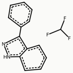 FC(F)F.c1ccc(-c2n[nH]c3ccccc23)cc1